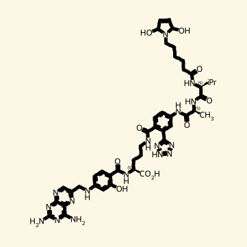 CC(C)[C@H](NC(=O)CCCCCN1C(O)C=CC1O)C(=O)N[C@@H](C)C(=O)Nc1ccc(C(=O)NCCC[C@H](NC(=O)c2ccc(NCc3cnc4nc(N)nc(N)c4n3)cc2O)C(=O)O)c(-c2nn[nH]n2)c1